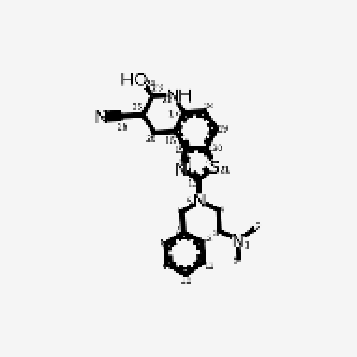 CN(C)CCN(Cc1ccccc1)c1nc2c3c(ccc2s1)NC(O)C(C#N)C3